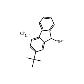 CC(C)(C)c1ccc2c(c1)[CH]([Ti+2])c1ccccc1-2.[Cl-].[Cl-]